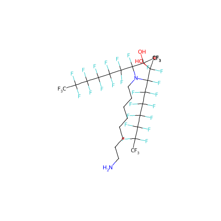 NCCCCCCCCN(C(F)(C(O)(F)C(F)(F)F)C(F)(F)C(F)(F)C(F)(F)C(F)(F)C(F)(F)C(F)(F)F)C(F)(C(O)(F)C(F)(F)F)C(F)(F)C(F)(F)C(F)(F)C(F)(F)C(F)(F)C(F)(F)F